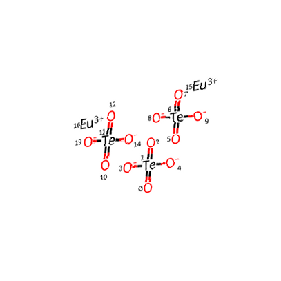 O=[Te](=O)([O-])[O-].O=[Te](=O)([O-])[O-].O=[Te](=O)([O-])[O-].[Eu+3].[Eu+3]